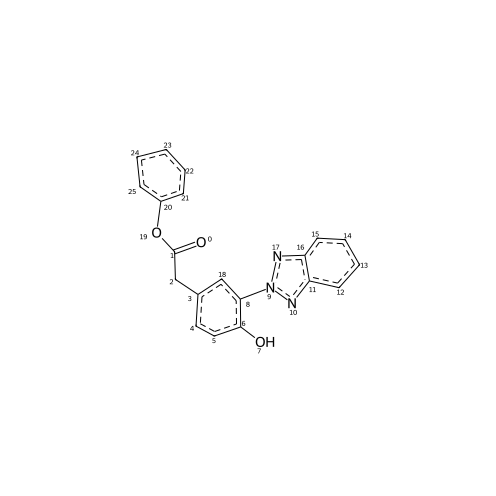 O=C(Cc1ccc(O)c(-n2nc3ccccc3n2)c1)Oc1ccccc1